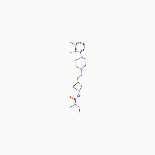 CCN(C)C(=O)NC1CC(CCN2CCN(c3cccc(C)c3C)CC2)C1